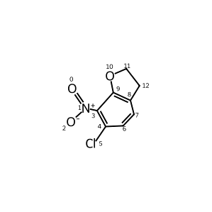 O=[N+]([O-])c1c(Cl)ccc2c1OCC2